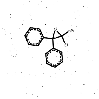 CCCC1(CC)OC1(c1ccccc1)c1ccccc1